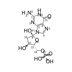 Nc1nc2c(ncn2[C@@]2(O)C[C@H](O)[C@@H](COP(=O)(O)O)O2)c(=O)[nH]1